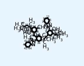 CCC(C)(C)c1cc(-n2nc3ccccc3n2)c(O)c(C(C)(C)CC)c1.Cc1cc(C(C)c2ccccc2-n2nc3ccccc3n2)c(O)c(C(C)(C)CC(C)(C)C)c1